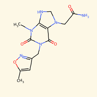 Cc1cc(Cn2c(=O)c3c(n(C)c2=O)NCN3CC(N)=O)no1